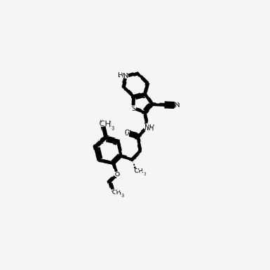 CCOc1ccc(C)cc1[C@@H](C)CC(=O)Nc1sc2c(c1C#N)CCNC2